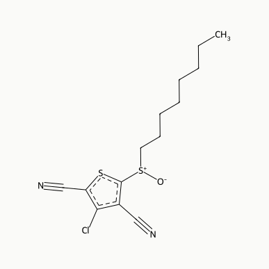 CCCCCCCC[S+]([O-])c1sc(C#N)c(Cl)c1C#N